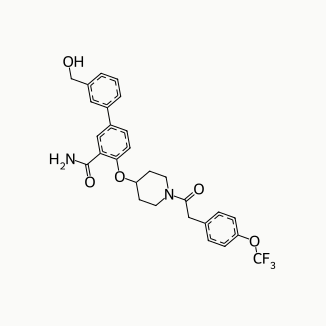 NC(=O)c1cc(-c2cccc(CO)c2)ccc1OC1CCN(C(=O)Cc2ccc(OC(F)(F)F)cc2)CC1